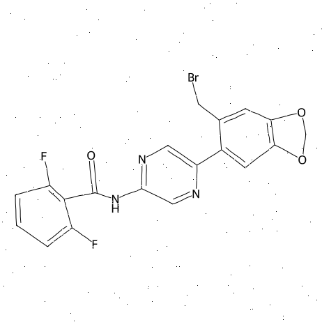 O=C(Nc1cnc(-c2cc3c(cc2CBr)OCO3)cn1)c1c(F)cccc1F